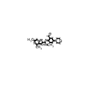 CN/C(=N\c1ccc(N2CCOCC2)cc1C=O)c1cc2c(C)nc(C)cn2n1